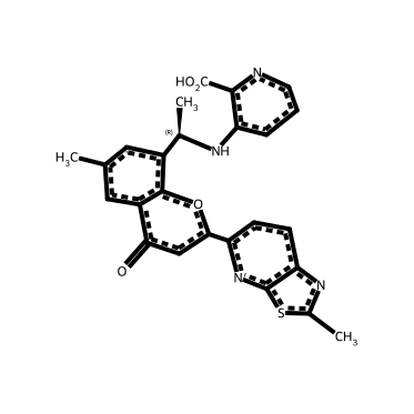 Cc1cc([C@@H](C)Nc2cccnc2C(=O)O)c2oc(-c3ccc4nc(C)sc4n3)cc(=O)c2c1